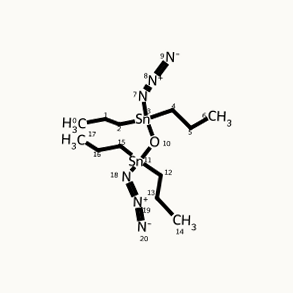 CC[CH2][Sn]([CH2]CC)([N]=[N+]=[N-])[O][Sn]([CH2]CC)([CH2]CC)[N]=[N+]=[N-]